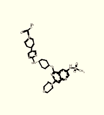 CC(C)(C)OC(=O)N1CC=C(c2cnc(N[C@H]3CC[C@@H](Oc4nc(N5CCOCC5)cc5ncc(NS(C)(=O)=O)cc45)CC3)nc2)CC1